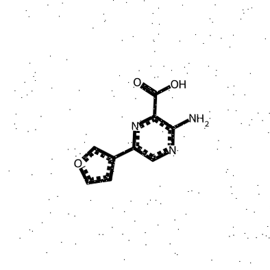 Nc1ncc(-c2ccoc2)nc1C(=O)O